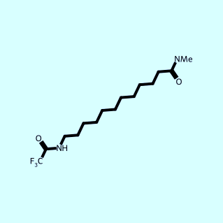 CNC(=O)CCCCCCCCCCCNC(=O)C(F)(F)F